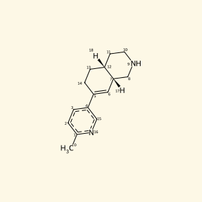 Cc1ccc(C2=C[C@H]3CNCC[C@H]3CC2)cn1